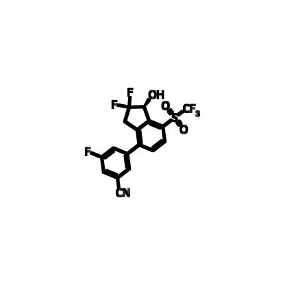 N#Cc1cc(F)cc(-c2ccc(S(=O)(=O)C(F)(F)F)c3c2CC(F)(F)[C@H]3O)c1